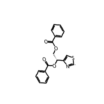 O=C(OC[C@@H](OC(=O)c1ccccc1)c1cs[c]n1)c1ccccc1